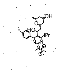 C=C1C[C@H](O)C[C@@H](CC(O)c2c(-c3ccc(F)cc3)nc(N(C)S(C)(=O)=O)nc2C(C)C)O1